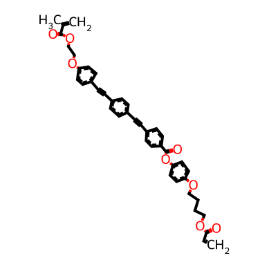 C=CC(=O)OCCCCOc1ccc(OC(=O)c2ccc(C#Cc3ccc(C#Cc4ccc(OCCOC(=O)C(=C)C)cc4)cc3)cc2)cc1